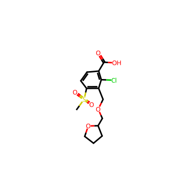 CS(=O)(=O)c1ccc(C(=O)O)c(Cl)c1COCC1CCCO1